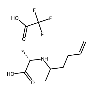 C=CCCC(C)N[C@@H](C)C(=O)O.O=C(O)C(F)(F)F